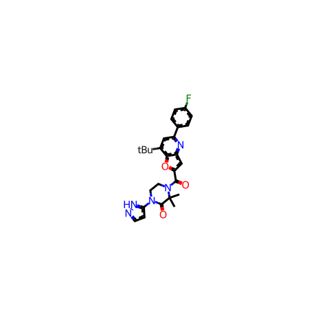 CC(C)(C)c1cc(-c2ccc(F)cc2)nc2cc(C(=O)N3CCN(c4ccn[nH]4)C(=O)C3(C)C)oc12